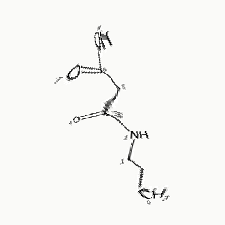 CCNC(=O)CC(=O)O